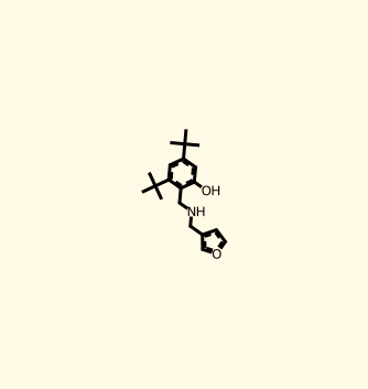 CC(C)(C)c1cc(O)c(CNCc2ccoc2)c(C(C)(C)C)c1